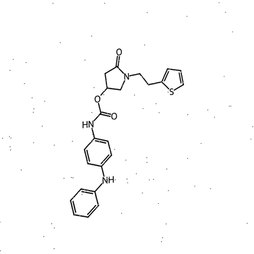 O=C(Nc1ccc(Nc2ccccc2)cc1)OC1CC(=O)N(CCc2cccs2)C1